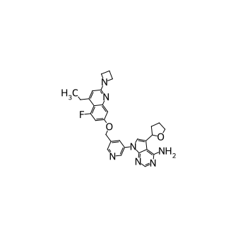 CCc1cc(N2CCC2)nc2cc(OCc3cncc(-n4cc(C5CCCO5)c5c(N)ncnc54)c3)cc(F)c12